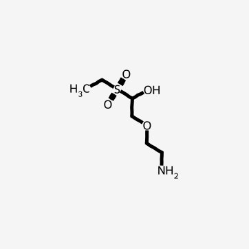 CCS(=O)(=O)C(O)COCCN